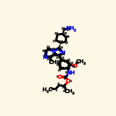 CCCC(C)OC(=O)Nc1ccc(-c2nc([C@H]3CC[C@H](CN)CC3)n3ccnc(C)c23)cc1OC